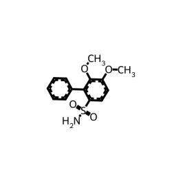 COc1ccc(S(N)(=O)=O)c(-c2ccccc2)c1OC